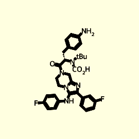 CC(C)(C)N(C(=O)O)[C@@H](Cc1ccc(N)cc1)C(=O)N1CCn2c(nc(-c3cccc(F)c3)c2Nc2ccc(F)cc2)C1